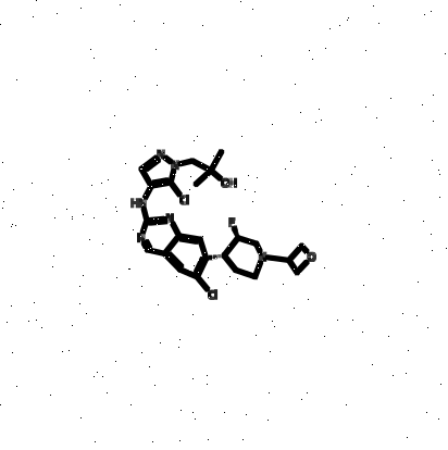 CC(C)(O)Cn1ncc(Nc2ncc3cc(Cl)c([C@H]4CCN(C5COC5)C[C@@H]4F)cc3n2)c1Cl